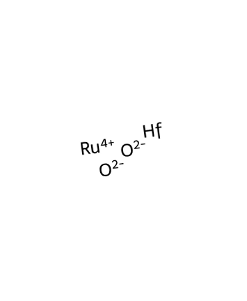 [Hf].[O-2].[O-2].[Ru+4]